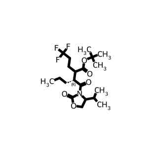 CCC[C@@H](C(=O)N1C(=O)OCC1C(C)C)C(CCC(F)(F)F)C(=O)OC(C)(C)C